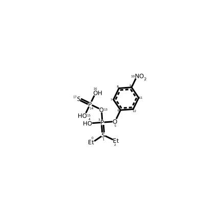 CCS(CC)=P(O)(Oc1ccc([N+](=O)[O-])cc1)OP(O)(O)=S